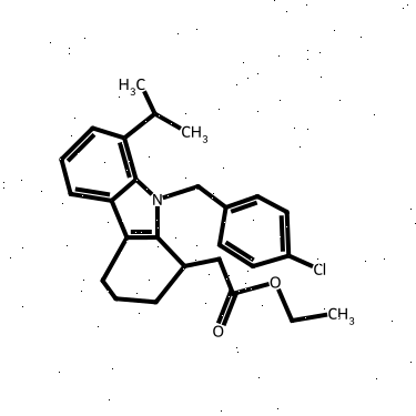 CCOC(=O)CC1CCCc2c1n(Cc1ccc(Cl)cc1)c1c(C(C)C)cccc21